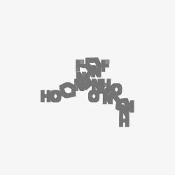 O=C(Nc1cn([C@H]2CC[C@H](O)CC2)nc1-c1nc(F)ccc1F)c1coc(-c2cn[nH]c2)n1